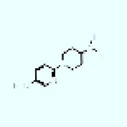 CN(C)C1CCN(c2ccc(N)cn2)CC1